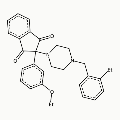 CCOc1cccc(C2(N3CCN(Cc4ccccc4CC)CC3)C(=O)c3ccccc3C2=O)c1